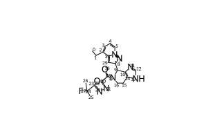 CCc1cccn2nc(C3c4nc[nH]c4CCN3C(=O)c3nnc(C(C)(C)F)o3)cc12